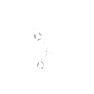 COc1ccc(COCC(C)(C)COc2ccnc(Br)c2)cc1